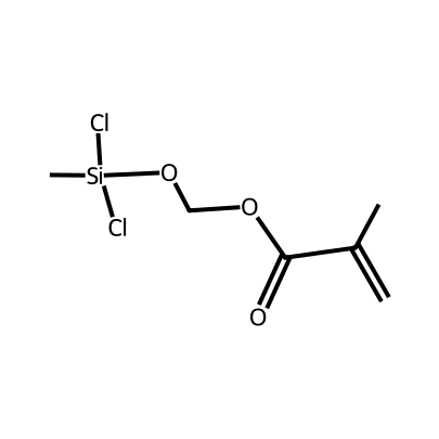 C=C(C)C(=O)OCO[Si](C)(Cl)Cl